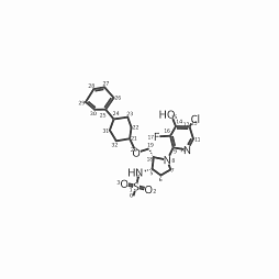 CS(=O)(=O)N[C@H]1CCN(c2ncc(Cl)c(O)c2F)[C@H]1COC1CCC(c2ccccc2)CC1